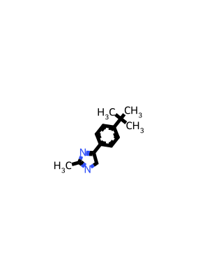 CC1=NCC(c2ccc(C(C)(C)C)cc2)=N1